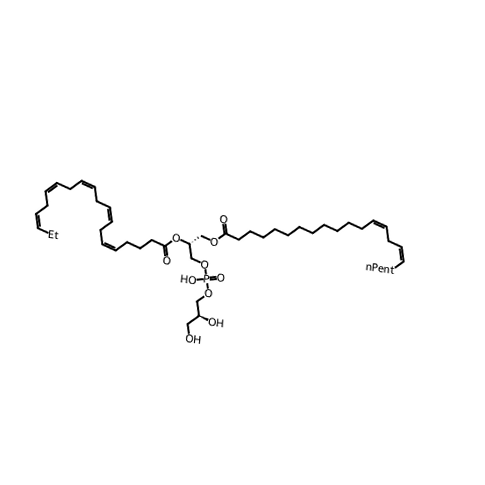 CC/C=C\C/C=C\C/C=C\C/C=C\C/C=C\CCCC(=O)O[C@H](COC(=O)CCCCCCCCCCC/C=C\C/C=C\CCCCC)COP(=O)(O)OC[C@@H](O)CO